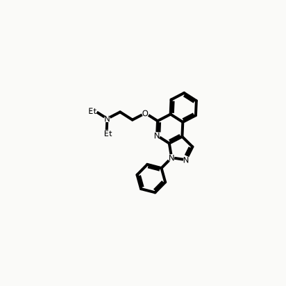 CCN(CC)CCOc1nc2c(cnn2-c2ccccc2)c2ccccc12